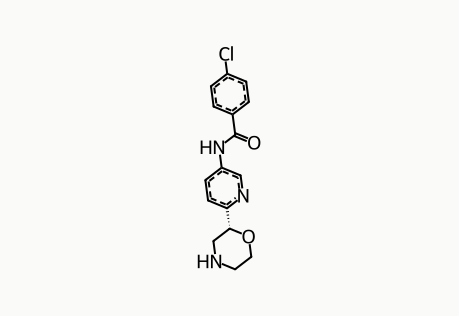 O=C(Nc1ccc([C@H]2CNCCO2)nc1)c1ccc(Cl)cc1